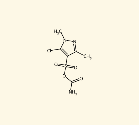 Cc1nn(C)c(Cl)c1S(=O)(=O)OC(N)=O